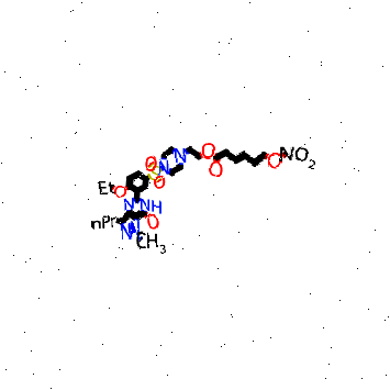 CCCc1nn(C)c2c(=O)[nH]c(-c3cc(S(=O)(=O)N4CCN(CCOC(=O)CCCCCO[N+](=O)[O-])CC4)ccc3OCC)nc12